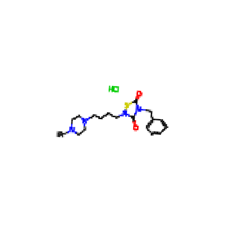 CC(C)N1CCN(CCCCn2sc(=O)n(Cc3ccccc3)c2=O)CC1.Cl